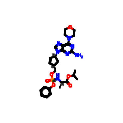 CC(C)OC(=O)[C@H](C)N[P@@](=O)(OC[C@@H]1C=C[C@H](n2cnc3c(N4CCOCC4)nc(N)nc32)C1)Oc1ccccc1